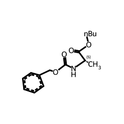 CCCCOC(=O)[C@H](C)NC(=O)OCc1ccccc1